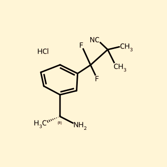 C[C@@H](N)c1cccc(C(F)(F)C(C)(C)C#N)c1.Cl